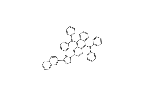 c1ccc(N(c2ccccc2)c2c3ccccc3c(N(c3ccccc3)c3ccccc3)c3cc(-c4ccc(-c5ccc6ccccc6c5)s4)ccc23)cc1